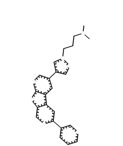 CCN(CC)CCCn1cc(-c2cnc3[nH]c4cnc(-c5cccnc5)cc4c3c2)cn1